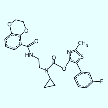 Cc1nc(OC(=O)N(CCNC(=O)c2cccc3c2OCCO3)C2CC2)c(-c2cccc(F)c2)s1